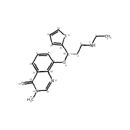 CCNCC[C@H](Oc1cccc2c(=O)n(C)cnc12)c1cccs1